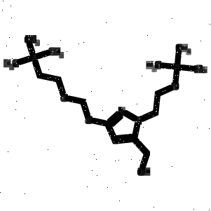 CC(C)(C)[Si](C)(C)OCCn1nc(OCOCC[Si](C)(C)C)cc1CO